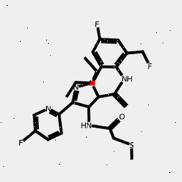 C=C(Nc1c(CF)cc(F)cc1CCC)C1C(NC(=O)CSC)C(c2ccc(F)cn2)=NN1CC